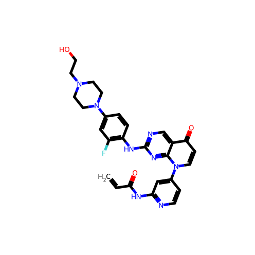 C=CC(=O)Nc1cc(-n2ccc(=O)c3cnc(Nc4ccc(N5CCN(CCO)CC5)cc4F)nc32)ccn1